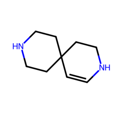 C1=CC2(CCN1)CCNCC2